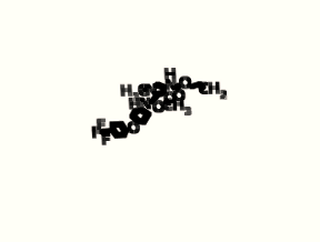 C=CCOC(=O)Nc1cn(C)c(C(=O)Nc2ccc(Oc3ccc(C(F)(F)F)cc3)cc2)c1OC